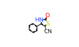 N#Cc1sc(=O)[nH]c1-c1ccccc1